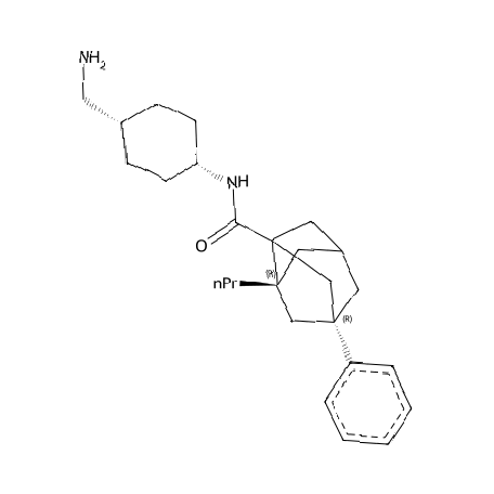 CCC[C@]12CC3CC1(C(=O)N[C@H]1CC[C@@H](CN)CC1)C[C@@](c1ccccc1)(C3)C2